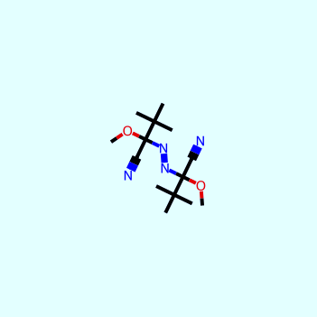 COC(C#N)(N=NC(C#N)(OC)C(C)(C)C)C(C)(C)C